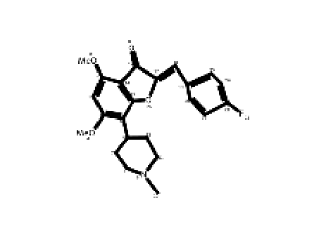 COc1cc(OC)c(C2CCN(C)CC2)c2c1C(=O)/C(=C/c1ccc(F)cc1)O2